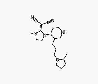 CC1CCCN1CCCC1CNCCC1N1CCNC1=C(C#N)C#N